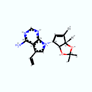 C=Cc1cn([C@@H]2C=C(CC)[C@@H]3OC(C)(C)OC23)c2ncnc(N)c12